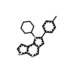 Cc1ccc(-c2cc3cnc4[nH]ccc4c3n2C2CCCCC2)cc1